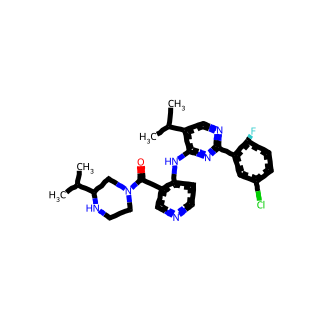 CC(C)c1cnc(-c2cc(Cl)ccc2F)nc1Nc1ccncc1C(=O)N1CCNC(C(C)C)C1